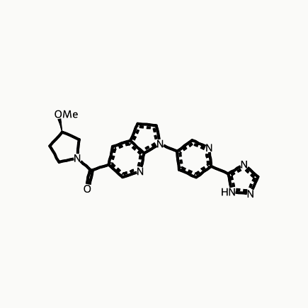 CO[C@@H]1CCN(C(=O)c2cnc3c(ccn3-c3ccc(-c4ncn[nH]4)nc3)c2)C1